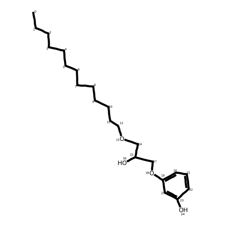 CCCCCCCCCCCCCOCC(O)COc1cccc(O)c1